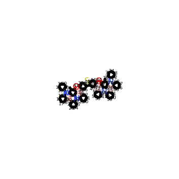 Cc1c2c3c4c5c1N(c1ccccc1)c1ccccc1B5c1ccccc1N4c1ccccc1B3c1cc3c(cc1O2)sc1cc2c(cc13)B1c3ccccc3N3c4ccccc4B4c5ccccc5N(c5ccccc5)c5c(C)c(c1c3c54)O2